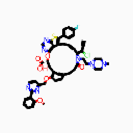 C#C/C(Cl)=C1\C=C/Cc2c(-c3ccc(F)cc3)sc3ncnc(c23)O[C@@H](C(=O)O)Cc2cc(ccc2OCc2ccnc(-c3ccccc3OC)n2)CCC(=O)N1CCN1CCN(C)CC1